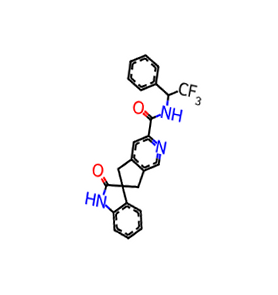 O=C(NC(c1ccccc1)C(F)(F)F)c1cc2c(cn1)CC1(C2)C(=O)Nc2ccccc21